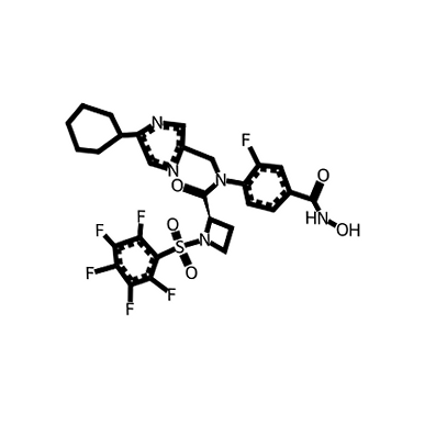 O=C(NO)c1ccc(N(Cc2cnc(C3CCCCC3)cn2)C(=O)[C@H]2CCN2S(=O)(=O)c2c(F)c(F)c(F)c(F)c2F)c(F)c1